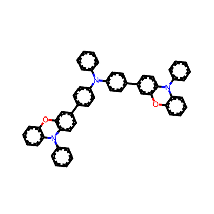 c1ccc(N(c2ccc(-c3ccc4c(c3)Oc3ccccc3N4c3ccccc3)cc2)c2ccc(-c3ccc4c(c3)Oc3ccccc3N4c3ccccc3)cc2)cc1